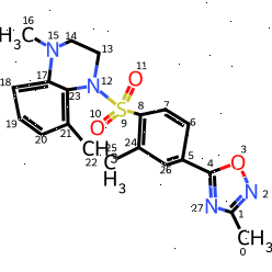 Cc1noc(-c2ccc(S(=O)(=O)N3CCN(C)c4cccc(C)c43)c(C)c2)n1